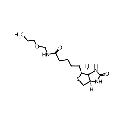 CCCOCNC(=O)CCCC[C@@H]1SC[C@@H]2NC(=O)N[C@@H]21